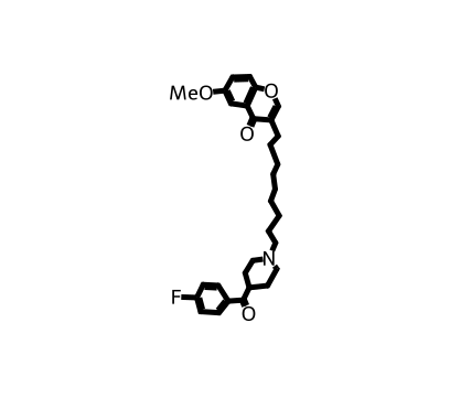 COc1ccc2occ(CCCCCCCCCN3CCC(C(=O)c4ccc(F)cc4)CC3)c(=O)c2c1